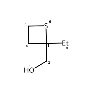 CCC1(CO)CCS1